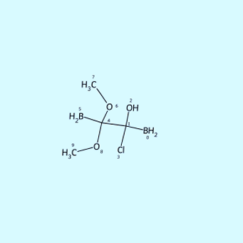 BC(O)(Cl)C(B)(OC)OC